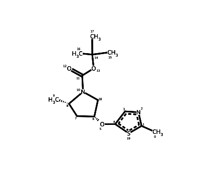 Cc1ncc(O[C@@H]2C[C@H](C)N(C(=O)OC(C)(C)C)C2)s1